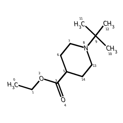 CCOC(=O)C1CCN(C(C)(C)C)CC1